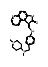 CN1CCC(N(C)Cc2ccc(N/C=C3\C(=O)Nc4ccc5ncccc5c43)cc2)CC1